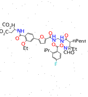 CCCCCC(C(=O)NCNC(=O)c1ccc(-c2ccc(C(=O)NC(CC(=O)O)C(=O)O)c(OCC)c2)o1)[C@@H](CC)N(C=O)OC(=O)c1ccc(F)cc1C(C)C